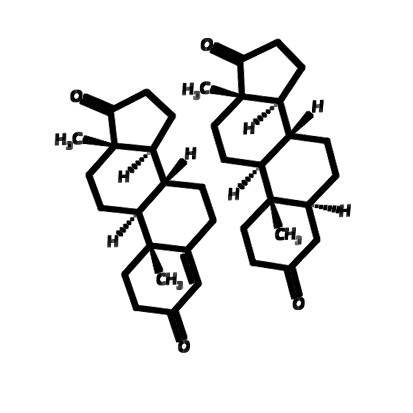 C[C@]12CCC(=O)C=C1CC[C@@H]1[C@@H]2CC[C@]2(C)C(=O)CC[C@@H]12.C[C@]12CCC(=O)C[C@@H]1CC[C@@H]1[C@@H]2CC[C@]2(C)C(=O)CC[C@@H]12